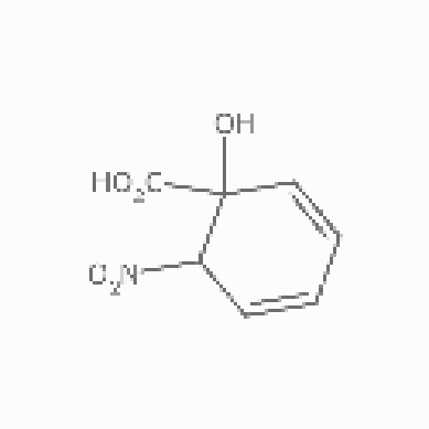 O=C(O)C1(O)C=CC=CC1[N+](=O)[O-]